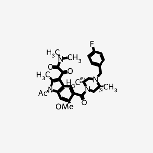 COc1cc2c(cc1C(=O)N1C[C@H](C)N(Cc3ccc(F)cc3)C[C@H]1C)c(C(=O)C(=O)N(C)C)c(C)n2C(C)=O